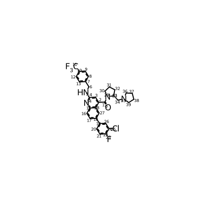 O=C(c1cc(NCc2ccc(C(F)(F)F)cc2)nc2ccc(-c3ccc(F)c(Cl)c3)cc12)N1CCC[C@H]1CN1CCCC1